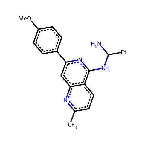 CCC(N)Nc1nc(-c2ccc(OC)cc2)cc2nc(C(F)(F)F)ccc12